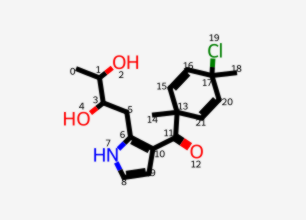 CC(O)C(O)Cc1[nH]ccc1C(=O)C1(C)C=CC(C)(Cl)C=C1